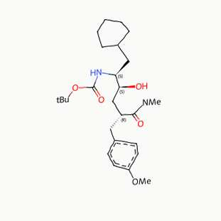 CNC(=O)[C@H](Cc1ccc(OC)cc1)C[C@H](O)[C@H](CC1CCCCC1)NC(=O)OC(C)(C)C